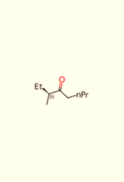 CCCCC(=O)[C@@H](C)CC